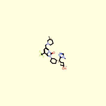 C[C@H]1CCCN(Cc2cc(C(F)(F)F)c3cn(C4CCCC([C@H](c5nncn5C)[C@H]5C[C@](C)(O)C5)C4)c(=O)n3c2)C1